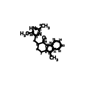 Cc1nc(CC2CCc3c(C)c4ccccc4n3C2=O)c(C)[nH]1